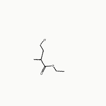 CCOC(=O)C(C)CCCl